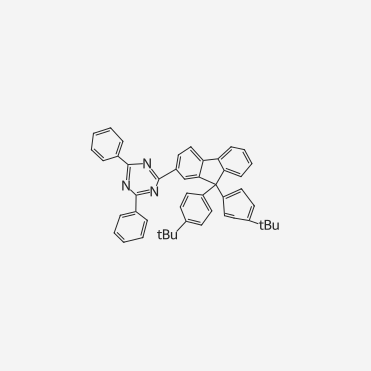 CC(C)(C)c1ccc(C2(c3ccc(C(C)(C)C)cc3)c3ccccc3-c3ccc(-c4nc(-c5ccccc5)nc(-c5ccccc5)n4)cc32)cc1